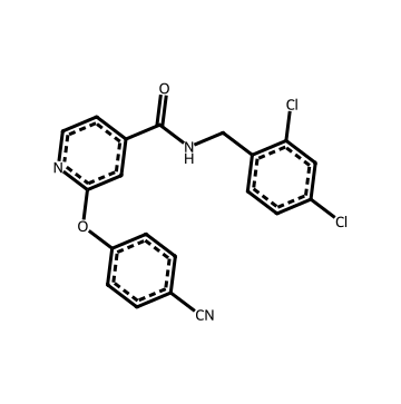 N#Cc1ccc(Oc2cc(C(=O)NCc3ccc(Cl)cc3Cl)ccn2)cc1